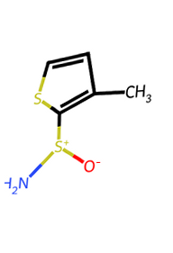 Cc1ccsc1[S+](N)[O-]